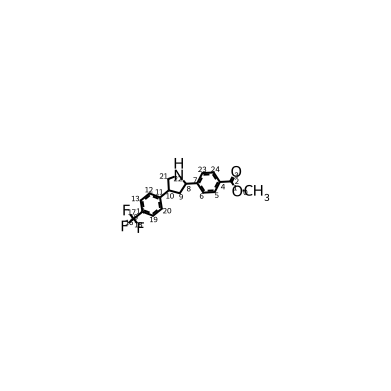 COC(=O)c1ccc(C2CC(c3ccc(C(F)(F)F)cc3)CN2)cc1